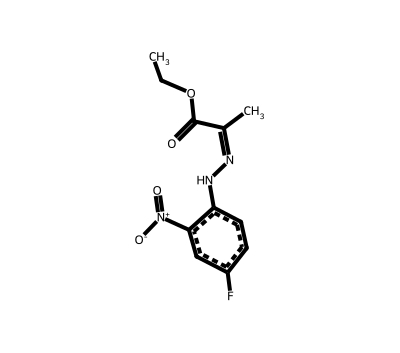 CCOC(=O)/C(C)=N\Nc1ccc(F)cc1[N+](=O)[O-]